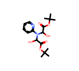 CC(C)(C)OC(=O)C(O)N(c1ccccn1)C(O)C(=O)OC(C)(C)C